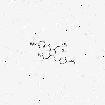 CC(C)Cc1cc(Oc2ccc(N)cc2)c(CC(C)C)cc1Oc1ccc(N)cc1